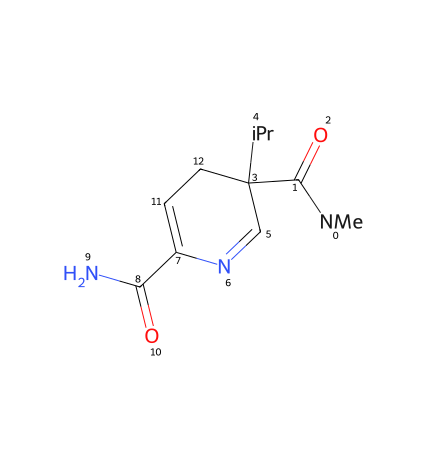 CNC(=O)C1(C(C)C)C=NC(C(N)=O)=CC1